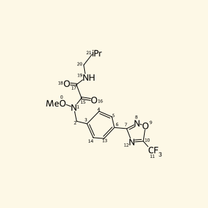 CON(Cc1ccc(-c2noc(C(F)(F)F)n2)cc1)C(=O)C(=O)NCC(C)C